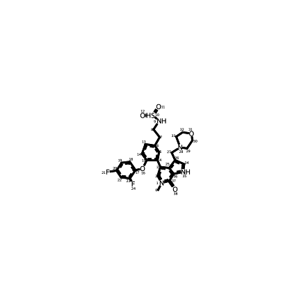 Cn1cc(-c2cc(CCN[SH](=O)=O)ccc2Oc2ccc(F)cc2F)c2c(CN3CCOCC3)c[nH]c2c1=O